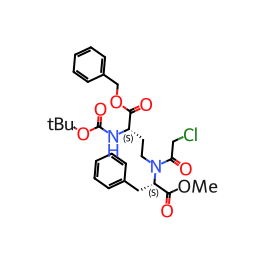 COC(=O)[C@H](Cc1ccccc1)N(CC[C@H](NC(=O)OC(C)(C)C)C(=O)OCc1ccccc1)C(=O)CCl